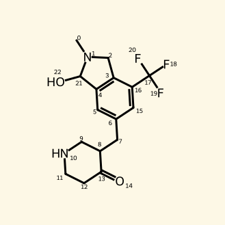 CN1Cc2c(cc(CC3CNCCC3=O)cc2C(F)(F)F)C1O